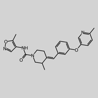 Cc1ccc(Oc2cccc(C=C3CCN(C(=O)Nc4cnoc4C)CC3C)c2)cn1